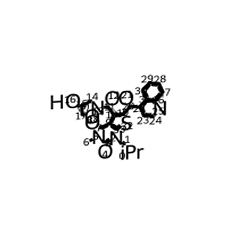 CC(C)Cn1c(=O)n(C)c(=O)c2c(C(=O)N3C[C@H](O)CO3)c(C(=O)c3ccnc4ccccc34)sc21